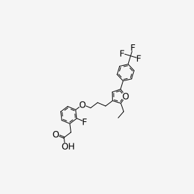 CCc1oc(-c2ccc(C(F)(F)F)cc2)cc1CCCOc1cccc(CC(=O)O)c1F